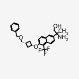 C[C@](N)(CO)c1ccc2c(C(F)(F)F)c(O[C@H]3C[C@@H](COCc4ccccc4)C3)ccc2c1